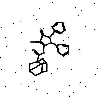 CCCCc1c(OC(=O)C23CC4CC(CC(C4)C2)C3)n(-c2ccccc2)n(-c2ccccc2)c1=O